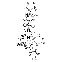 Cc1cc(S(=O)(=O)N2CC(=O)N(c3cc(-c4ccccc4)sc3C(=O)O)C(C3CCCCC3)C2)cnc1N1CCCC1C